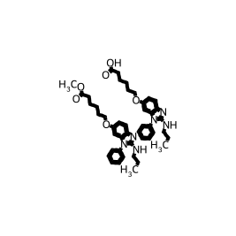 CCCNc1nc2ccc(OCCCCCC(=O)O)cc2n1-c1ccccc1.CCCNc1nc2ccc(OCCCCCC(=O)OC)cc2n1-c1ccccc1